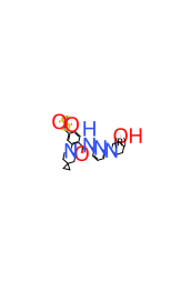 CS(=O)(=O)Cc1ccc(C(=O)Nc2cccc(N3CCC[C@@H](O)C3)n2)c(N2CCC3(CC2)CC3)c1